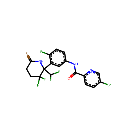 O=C(Nc1ccc(F)c(C2(C(F)F)NC(=S)CCC2(F)F)c1)c1ccc(Br)cn1